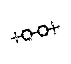 CS(C)(C)c1ccc(-c2ccc(C(F)(F)F)cc2)nc1